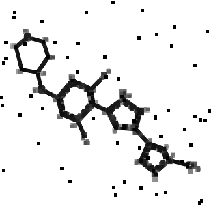 Cn1cc(-c2cc(-c3c(F)cc(OC4CCOCC4)cc3F)[nH]n2)cn1